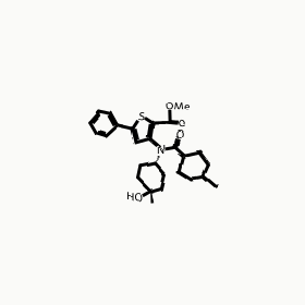 COC(=O)c1sc(-c2ccccc2)cc1N(C(=O)C1CCC(C)CC1)[C@H]1CC[C@@](C)(O)CC1